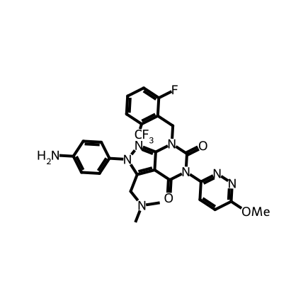 COc1ccc(-n2c(=O)c3c(CN(C)C)n(-c4ccc(N)cc4)nc3n(Cc3c(F)cccc3C(F)(F)F)c2=O)nn1